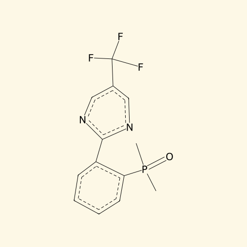 CP(C)(=O)c1ccccc1-c1ncc(C(F)(F)F)cn1